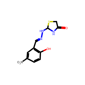 O=C1CSC(N/N=C/c2cc([N+](=O)[O-])ccc2O)N1